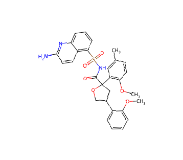 COc1ccccc1C1COC(C(=O)NS(=O)(=O)c2cccc3nc(N)ccc23)(c2cc(C)ccc2OC)C1